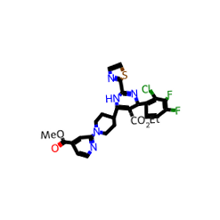 CCOC(=O)C1=C(C2CCN(c3cc(C(=O)OC)ccn3)CC2)NC(c2nccs2)=NC1c1ccc(F)c(F)c1Cl